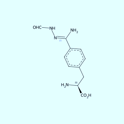 N/C(=N\NC=O)c1ccc(C[C@H](N)C(=O)O)cc1